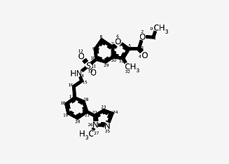 CCOC(=O)c1oc2ccc(S(=O)(=O)NCCc3cccc(-c4ccnn4C)c3)cc2c1C